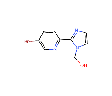 OCn1ccnc1-c1ccc(Br)cn1